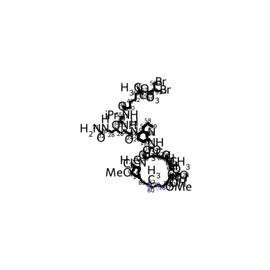 COc1cc2cc(c1Cl)N(C)C(=O)C[C@H](OC(=O)Nc1ccc(NC(=O)[C@H](CCCNC(N)=O)NC(=O)[C@@H](NC(=O)CCCCC(C)(C)OC(=O)C(CBr)CBr)C(C)C)c3cccnc13)[C@]1(C)O[C@H]1[C@H](C)[C@@H]1C[C@@](O)(NC(=O)O1)[C@H](OC)/C=C/C=C(\C)C2